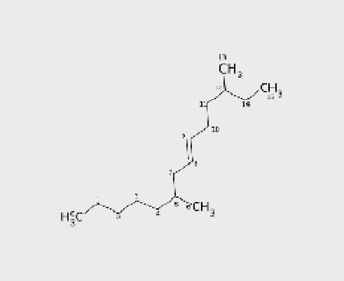 CCCCCC(C)CC=CCCC(C)CC